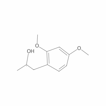 COc1ccc(C[C](C)O)c(OC)c1